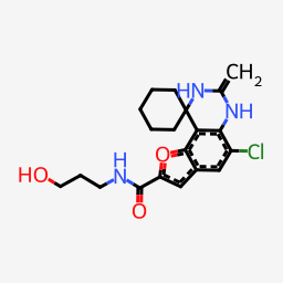 C=C1Nc2c(Cl)cc3cc(C(=O)NCCCO)oc3c2C2(CCCCC2)N1